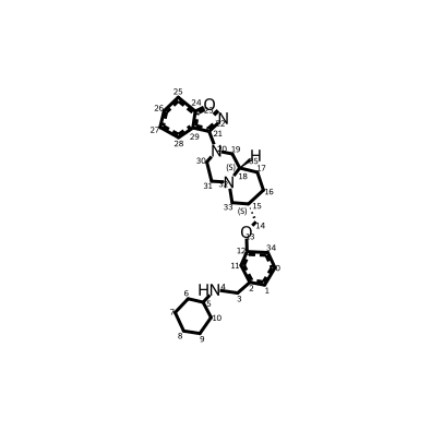 c1cc(CNC2CCCCC2)cc(OC[C@H]2CC[C@H]3CN(c4noc5ccccc45)CCN3C2)c1